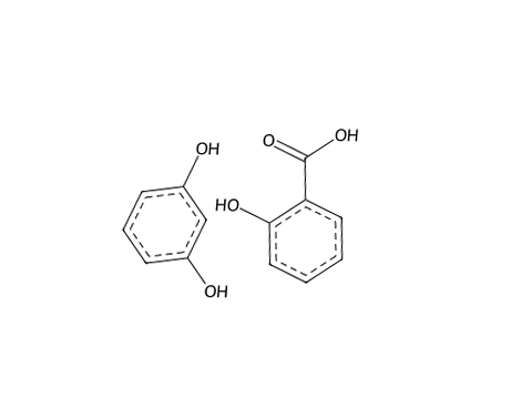 O=C(O)c1ccccc1O.Oc1cccc(O)c1